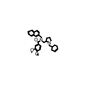 COc1ccc(C(=O)N(Cc2ccc3ccccc3c2)CC2CCCN2CC2CC=CCC2)cc1OC